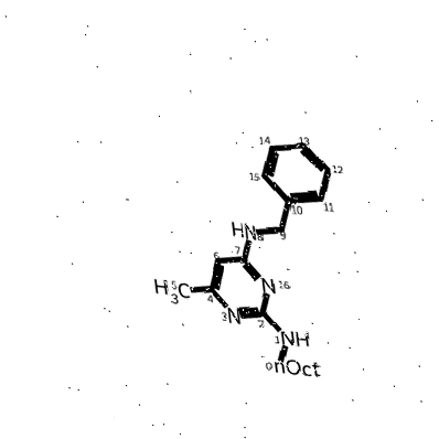 CCCCCCCCNc1nc(C)cc(NCc2ccccc2)n1